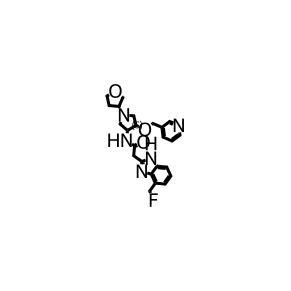 O=C(Cc1nc2c(CF)cccc2[nH]1)NC1CN(C2CCOC2)C[C@@H]1OCc1cccnc1